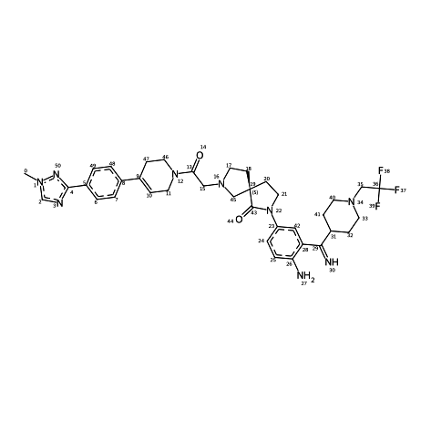 Cn1cnc(-c2ccc(C3=CCN(C(=O)CN4CC[C@]5(CCN(c6ccc(N)c(C(=N)C7CCN(CC(F)(F)F)CC7)c6)C5=O)C4)CC3)cc2)n1